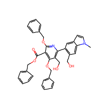 Cn1ccc2cc(-c3nc(OCc4ccccc4)c(C(=O)OCc4ccccc4)c(OCc4ccccc4)c3CO)c(CO)cc21